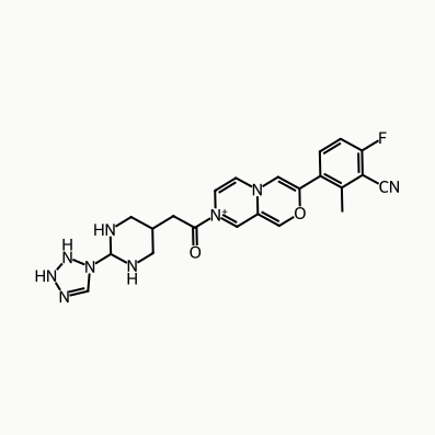 Cc1c(C2=CN3C=C[N+](C(=O)CC4CNC(N5C=NNN5)NC4)=CC3=CO2)ccc(F)c1C#N